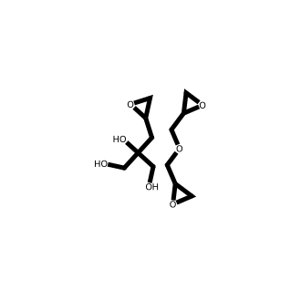 C(OCC1CO1)C1CO1.OCC(O)(CO)CC1CO1